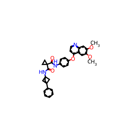 COc1cc2nccc(Oc3ccc(NC(=O)C4(C(=O)NC56CC(c7ccccc7)(C5)C6)CC4)cc3)c2cc1OC